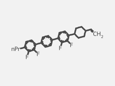 C=CC1CCC(c2ccc(-c3ccc(-c4ccc(CCC)c(F)c4F)cc3)c(F)c2F)CC1